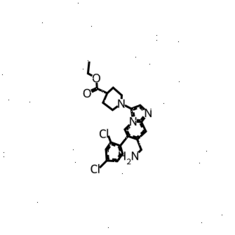 CCOC(=O)C1CCN(c2cnc3cc(CN)c(-c4ccc(Cl)cc4Cl)cn23)CC1